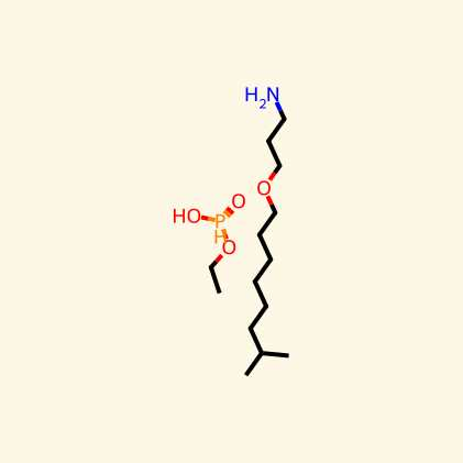 CC(C)CCCCCCOCCCN.CCO[PH](=O)O